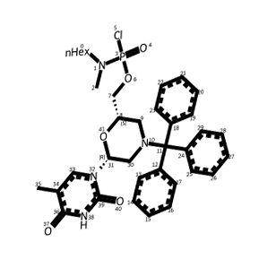 CCCCCCN(C)P(=O)(Cl)OC[C@@H]1CN(C(c2ccccc2)(c2ccccc2)c2ccccc2)C[C@H](n2cc(C)c(=O)[nH]c2=O)O1